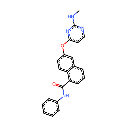 CNc1nccc(Oc2ccc3c(C(=O)Nc4ccccc4)cccc3c2)n1